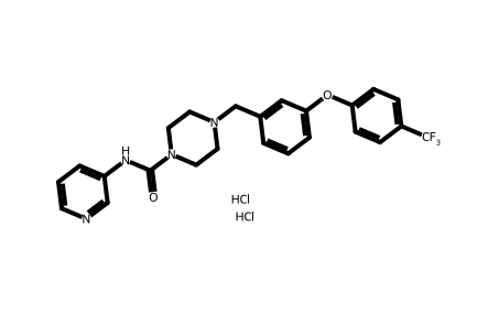 Cl.Cl.O=C(Nc1cccnc1)N1CCN(Cc2cccc(Oc3ccc(C(F)(F)F)cc3)c2)CC1